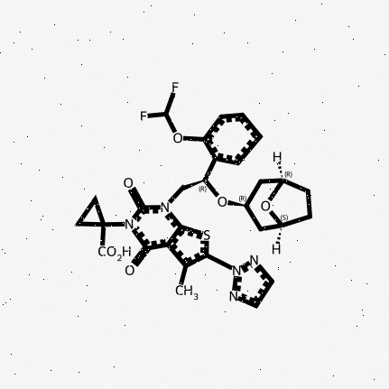 Cc1c(-n2nccn2)sc2c1c(=O)n(C1(C(=O)O)CC1)c(=O)n2C[C@H](O[C@H]1C[C@H]2CC[C@@H](C1)O2)c1ccccc1OC(F)F